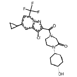 O=C(c1nn2c(C(F)(F)F)cc(C3CC3)cc2c1Cl)N1CCN([C@H]2CC[C@@H](O)CC2)C(=O)C1